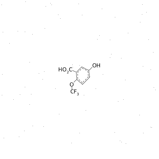 O=C(O)c1cc(O)ccc1OC(F)(F)F